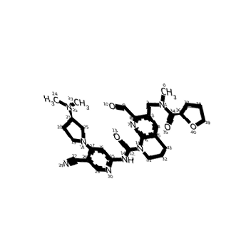 CN(Cc1cc2c(nc1C=O)N(C(=O)Nc1cc(N3CC[C@@H](N(C)C)C3)c(C#N)cn1)CCC2)C(=O)[C@H]1CCCO1